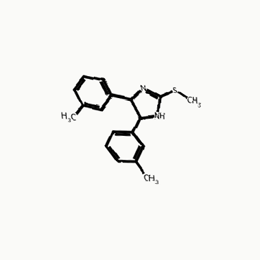 CSC1=NC(c2cccc(C)c2)C(c2cccc(C)c2)N1